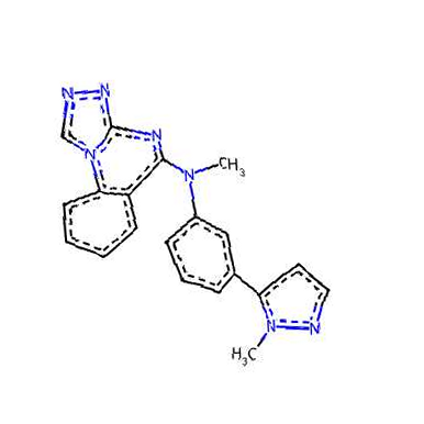 CN(c1cccc(-c2ccnn2C)c1)c1nc2nncn2c2ccccc12